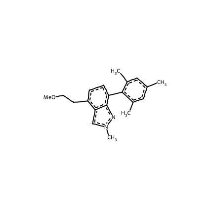 COCCc1ccc(-c2c(C)cc(C)cc2C)c2nn(C)[c]c12